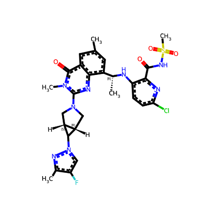 Cc1cc([C@@H](C)Nc2ccc(Cl)nc2C(=O)NS(C)(=O)=O)c2nc(N3C[C@@H]4C(n5cc(F)c(C)n5)[C@@H]4C3)n(C)c(=O)c2c1